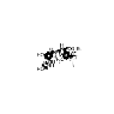 CCOC(=O)C[C@H](NC(=O)CNC(=O)c1cc(O)cc(NC2=NCC(O)CN2)c1)c1cc(C(F)(F)F)cc(C(C)(O)C(F)(F)F)c1